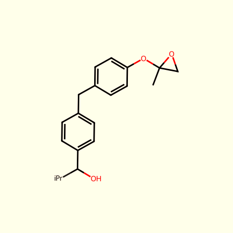 CC(C)C(O)c1ccc(Cc2ccc(OC3(C)CO3)cc2)cc1